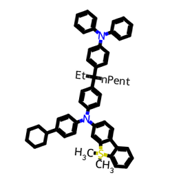 CCCCCC(CC)(c1ccc(N(c2ccccc2)c2ccccc2)cc1)c1ccc(N(c2ccc(C3CCCCC3)cc2)c2ccc3c(c2)S(C)(C)c2ccccc2-3)cc1